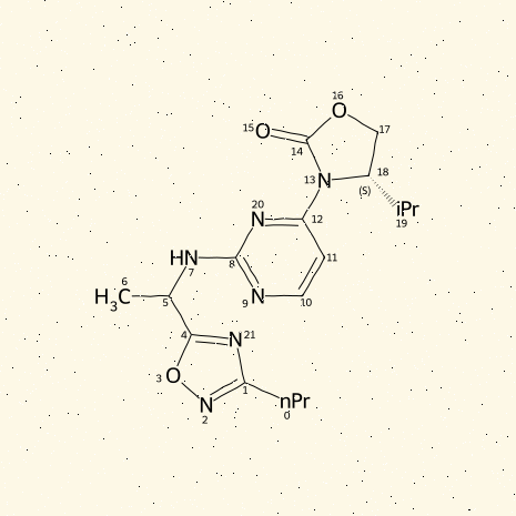 CCCc1noc(C(C)Nc2nccc(N3C(=O)OC[C@@H]3C(C)C)n2)n1